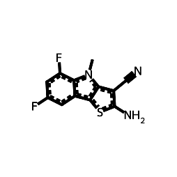 Cn1c2c(F)cc(F)cc2c2sc(N)c(C#N)c21